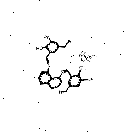 CC(=O)[O-].CC(=O)[O-].CC(C)Cc1cc(C=Nc2cccc3cccc(N=Cc4cc(CC(C)C)cc(C(C)C)c4O)c23)c(O)c(C(C)C)c1.[Co+2]